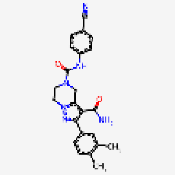 Cc1ccc(-c2nn3c(c2C(N)=O)CN(C(=O)Nc2ccc(C#N)cc2)CC3)cc1C